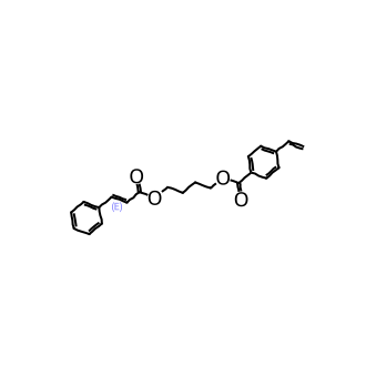 C=Cc1ccc(C(=O)OCCCCOC(=O)/C=C/c2ccccc2)cc1